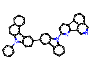 c1ccc(-n2c3ccc(-c4ccc5c(c4)c4ccccc4n5-c4ccc5c(n4)-c4cncc6cccc-5c46)cc3c3c4ccccc4ccc32)cc1